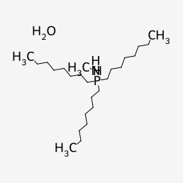 CCCCCCCC[PH](CCCCCCCC)(CCCCCCCC)NC.O